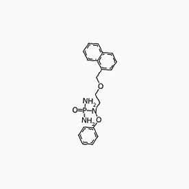 NP(N)(=O)N(CCOCc1cccc2ccccc12)Oc1ccccc1